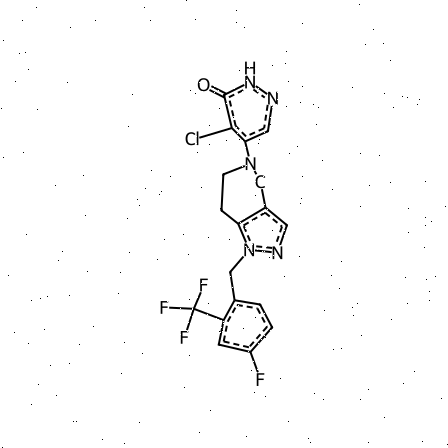 O=c1[nH]ncc(N2CCc3c(cnn3Cc3ccc(F)cc3C(F)(F)F)C2)c1Cl